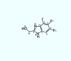 Cc1c(F)c(F)cc2[nH]c(CO)nc12